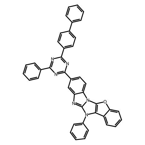 c1ccc(-c2ccc(-c3nc(-c4ccccc4)nc(-c4ccc5c(c4)nc4n(-c6ccccc6)c6c7ccccc7oc6n54)n3)cc2)cc1